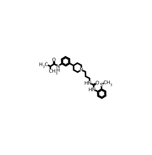 CSc1ccccc1NC(=O)NCCCN1CCC(c2cccc(NC(=O)C(C)C)c2)CC1